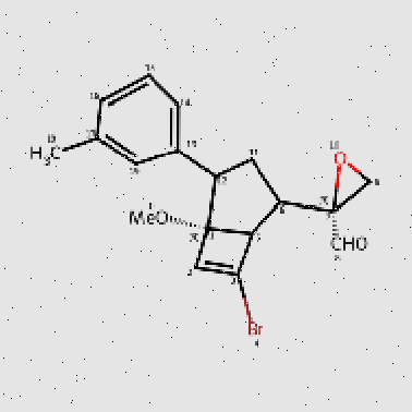 CO[C@@]12C=C(Br)C1C([C@]1(C=O)CO1)CC2c1cccc(C)c1